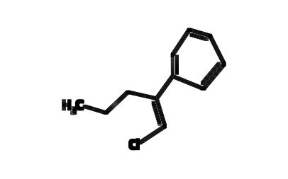 CCCC(=CCl)c1ccccc1